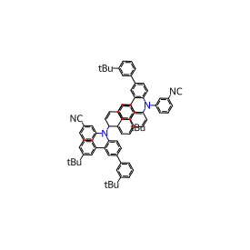 [C-]#[N+]c1cccc(N(C2=C3C=CC4=C5C(=CC=C(C=C2)C35)C(N(c2cccc(C#N)c2)c2ccc(-c3cccc(C(C)(C)C)c3)cc2-c2cccc(C(C)(C)C)c2)C=C4)c2ccc(-c3cccc(C(C)(C)C)c3)cc2-c2cccc(C(C)(C)C)c2)c1